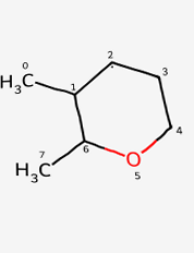 CC1[CH]CCOC1C